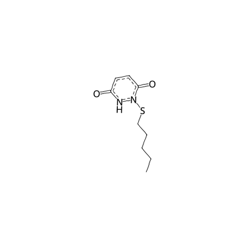 CCCCCSn1[nH]c(=O)ccc1=O